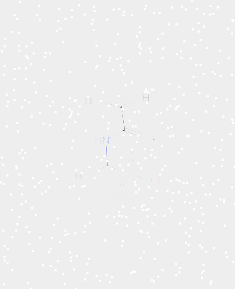 C=C(C)C(=O)NC(C)S(=O)(=O)O